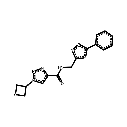 O=C(NCc1nnc(-c2ccccc2)s1)c1cn(C2COC2)nn1